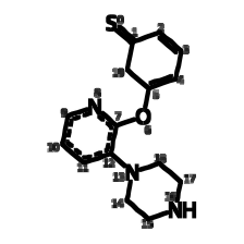 S=C1C=CC=C(Oc2ncccc2N2CCNCC2)C1